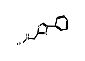 CCCNCc1nc(-c2ccccc2)cs1